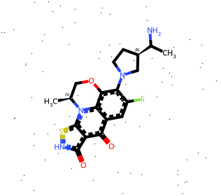 CC(N)[C@@H]1CCN(c2c(F)cc3c(=O)c4c(=O)[nH]sc4n4c3c2OC[C@@H]4C)C1